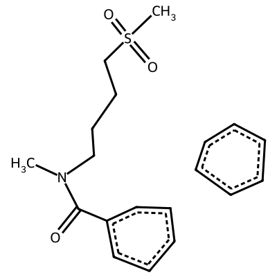 CN(CCCCS(C)(=O)=O)C(=O)c1ccccc1.c1ccccc1